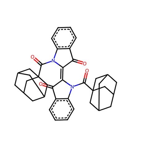 O=C1/C(=C2/C(=O)c3ccccc3N2C(=O)C23CC4CC(CC(C4)C2)C3)N(C(=O)C23CC4CC(CC(C4)C2)C3)c2ccccc21